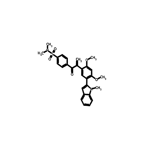 C=C(C(=O)c1ccc(S(=O)(=O)N(C)C)cc1)c1cc(-c2cc3ccccc3n2C)c(OC)cc1OC